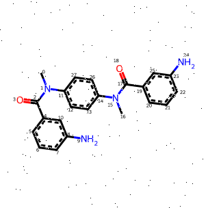 CN(C(=O)c1cccc(N)c1)c1ccc(N(C)C(=O)c2cccc(N)c2)cc1